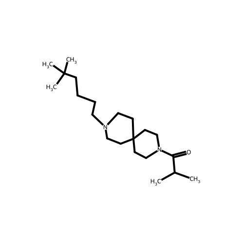 CC(C)C(=O)N1CCC2(CCN(CCCCC(C)(C)C)CC2)CC1